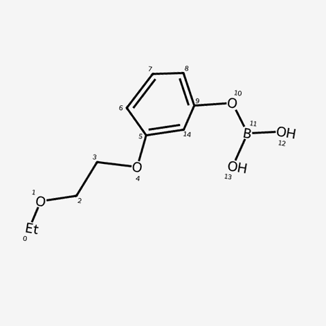 CCOCCOc1cccc(OB(O)O)c1